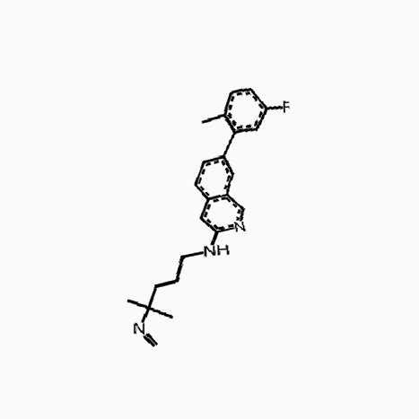 C=NC(C)(C)CCCNc1cc2ccc(-c3cc(F)ccc3C)cc2cn1